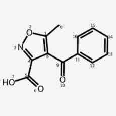 Cc1onc(C(=O)O)c1C(=O)c1ccccc1